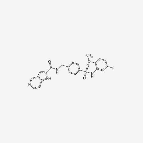 COc1ccc(F)cc1NS(=O)(=O)c1ccc(CNC(=O)c2cc3cnccc3[nH]2)cc1